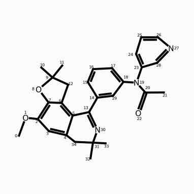 COc1cc2c(c3c1OC(C)(C)C3)C(c1cccc(N(C(C)=O)c3cccnc3)c1)=NC(C)(C)C2